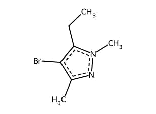 CCc1c(Br)c(C)nn1C